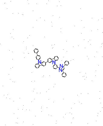 c1ccc(-c2ccc(-n3c4ccccc4c4ccc(-c5ccc6c7ccccc7n(-c7cccc(-c8nc(-c9ccccc9)cc(-c9ccccc9)n8)c7)c6c5)cc43)cc2)cc1